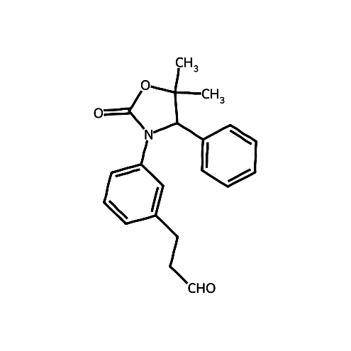 CC1(C)OC(=O)N(c2cccc(CCC=O)c2)C1c1ccccc1